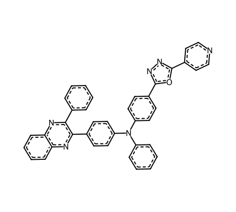 c1ccc(-c2nc3ccccc3nc2-c2ccc(N(c3ccccc3)c3ccc(-c4nnc(-c5ccncc5)o4)cc3)cc2)cc1